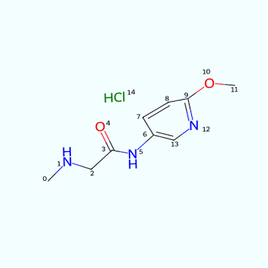 CNCC(=O)Nc1ccc(OC)nc1.Cl